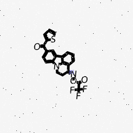 O=C(c1ccc2c(c1)c1cccc3c1n2CC/C3=N\OC(=O)C(F)(F)F)c1cccs1